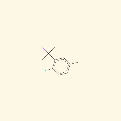 Cc1ccc(F)c(C(C)(C)I)c1